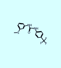 CSc1cccc(NC(=O)Nc2ccc(C(F)(F)F)cc2)c1